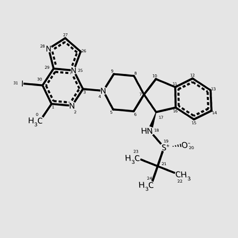 Cc1nc(N2CCC3(CC2)Cc2ccccc2[C@H]3N[S@+]([O-])C(C)(C)C)n2ccnc2c1I